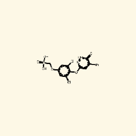 CC(C)c1cc(Oc2c(Cl)cc(OCP(=O)(O)O)cc2Cl)n[nH]c1=O